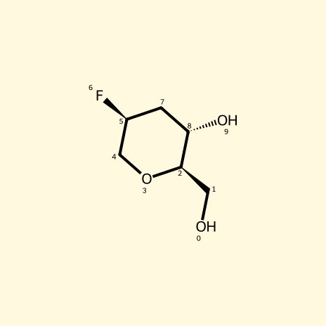 OC[C@H]1OC[C@@H](F)C[C@@H]1O